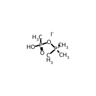 CP(=O)(O)O[P+](C)(C)C.[I-]